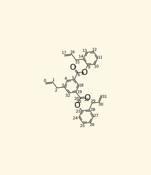 C=CCc1cc(C(=O)Oc2ccccc2CC=C)cc(C(=O)Oc2ccccc2CC=C)c1